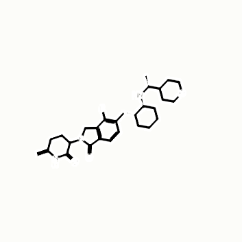 C=C1CCC(N2Cc3c(ccc(C[C@H]4CCCC[C@@H]4N[C@@H](C)C4CCOCC4)c3F)C2=O)C(=O)N1